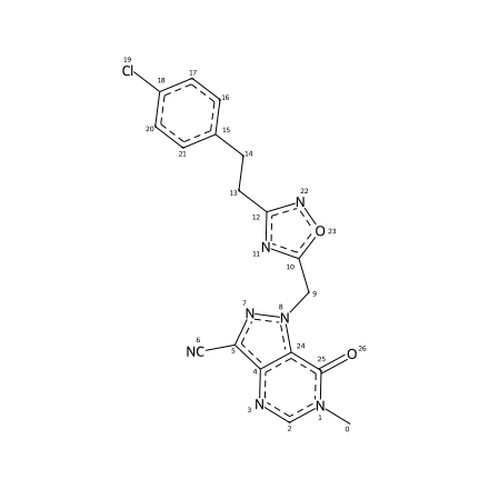 Cn1cnc2c(C#N)nn(Cc3nc(CCc4ccc(Cl)cc4)no3)c2c1=O